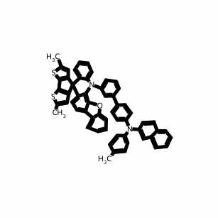 Cc1ccc(N(c2ccc(-c3cccc(N4c5ccccc5C5(c6cc(C)sc6-c6sc(C)cc65)c5ccc6c(oc7ccccc76)c54)c3)cc2)c2ccc3ccccc3c2)cc1